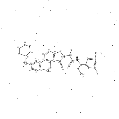 COc1cc(F)cc(C(CO)NC(=O)C(C)N2Cc3ccc(-c4nc(NC5CCOCC5)ncc4Cl)c(F)c3C2=O)c1